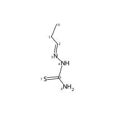 CC/C=N/NC(N)=S